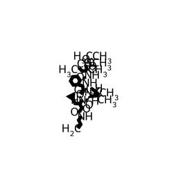 C=CCNC(=O)C(=O)C(CC1CC1)NC(=O)[C@@H]1[C@@H]2[C@H](CN1C(=O)[C@@H](NC(=O)N[C@](C)(CC(C)C)CS(=O)(=O)C(C)(C)C)C1(C)CCCCC1)C2(C)C